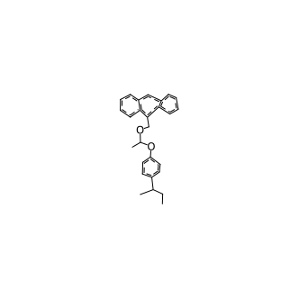 CCC(C)c1ccc(OC(C)OCc2c3ccccc3cc3ccccc23)cc1